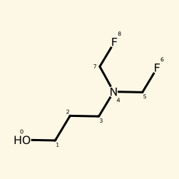 OCCCN(CF)CF